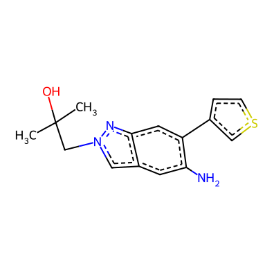 CC(C)(O)Cn1cc2cc(N)c(-c3ccsc3)cc2n1